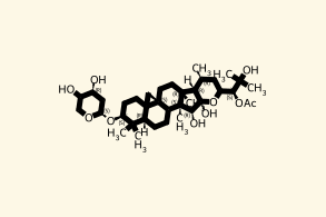 CC(=O)O[C@@H](C1C[C@@H](C)[C@H]2[C@@](O)(O1)[C@H](O)[C@@]1(C)C3CC[C@H]4C(C)(C)[C@@H](O[C@H]5C[C@@H](O)C(O)CO5)CCC45C[C@@]35CC[C@]21C)C(C)(C)O